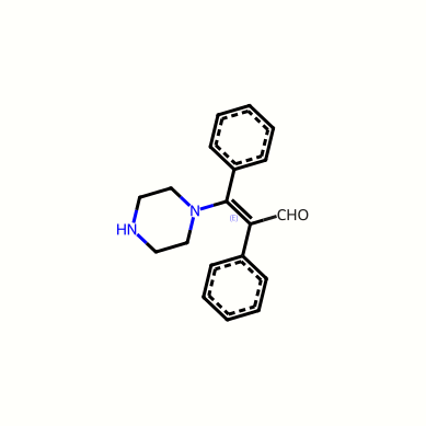 O=C/C(=C(\c1ccccc1)N1CCNCC1)c1ccccc1